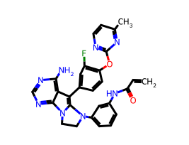 C=CC(=O)Nc1cccc(N2CCn3c2c(-c2ccc(Oc4nccc(C)n4)c(F)c2)c2c(N)ncnc23)c1